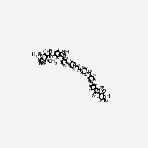 CC1=C(C(=O)Nc2ccc3[nH]nc(-c4ccnc(N5CCN(CCN6CCN(CC7CCN(c8ccc9c(c8)C(=O)N(C8CCC(=O)NC8=O)C9=O)CC7)CC6)CC5)c4)c3c2)[C@H](C)n2nnnc2N1C